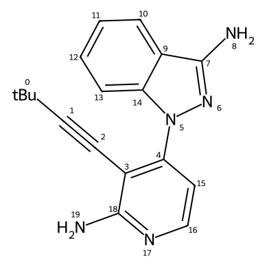 CC(C)(C)C#Cc1c(-n2nc(N)c3ccccc32)ccnc1N